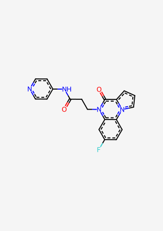 O=C(CCn1c(=O)c2cccn2c2ccc(F)cc21)Nc1ccncc1